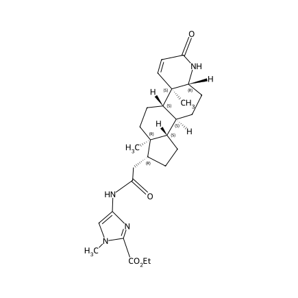 CCOC(=O)c1nc(NC(=O)C[C@H]2CC[C@H]3[C@@H]4CC[C@H]5NC(=O)C=C[C@]5(C)[C@H]4CC[C@]23C)cn1C